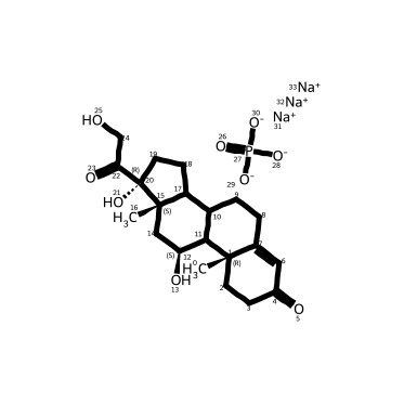 C[C@]12CCC(=O)C=C1CCC1C2[C@@H](O)C[C@@]2(C)C1CC[C@]2(O)C(=O)CO.O=P([O-])([O-])[O-].[Na+].[Na+].[Na+]